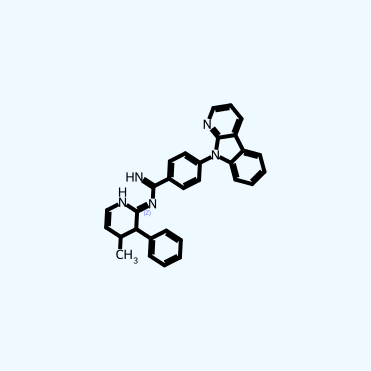 CC1C=CN/C(=N\C(=N)c2ccc(-n3c4ccccc4c4cccnc43)cc2)C1c1ccccc1